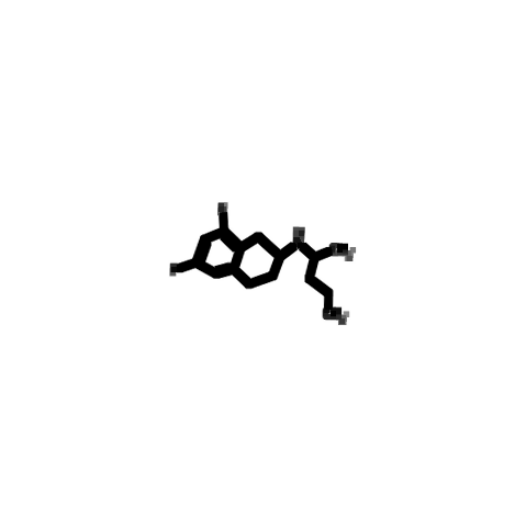 [CH2]CCC([CH2])NC1CCc2cc(F)cc(F)c2C1